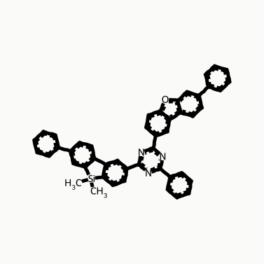 C[Si]1(C)c2ccc(-c3nc(-c4ccccc4)nc(-c4ccc5oc6cc(-c7ccccc7)ccc6c5c4)n3)cc2-c2ccc(-c3ccccc3)cc21